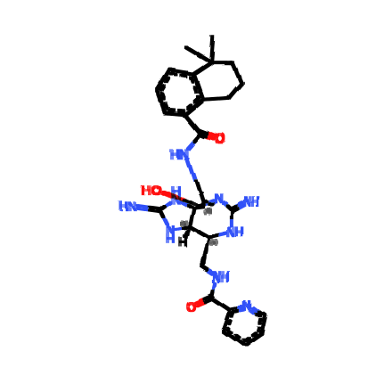 CC1(C)CCCc2c(C(=O)NC3CN4C(=N)N[C@@H](CNC(=O)c5ccccn5)[C@@H]5NC(=N)NC54[C@@H]3O)cccc21